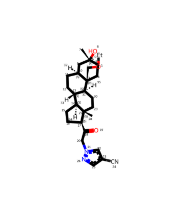 CCOC[C@]12CC[C@@](C)(O)C[C@@H]1CC[C@H]1[C@@H]3CC[C@H](C(=O)Cn4cc(C#N)cn4)[C@@]3(C)CC[C@@H]12